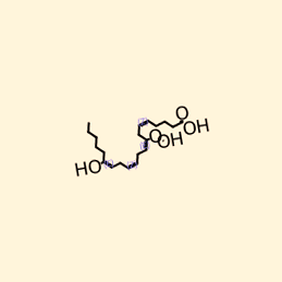 CCCCC/C(O)=C\C/C=C\C/C=C(\C/C=C\CCCC(=O)O)OO